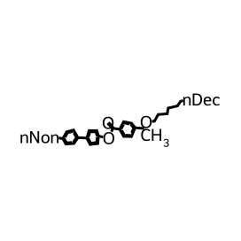 CCCCCCCCCCCCCCCCOC(C)c1ccc(C(=O)Oc2ccc(-c3ccc(CCCCCCCCC)cc3)cc2)cc1